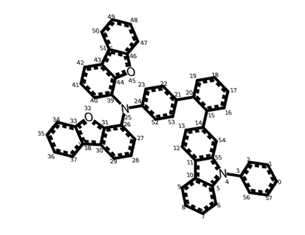 c1ccc(-n2c3ccccc3c3ccc(-c4ccccc4-c4ccc(N(c5cccc6c5oc5ccccc56)c5cccc6c5oc5ccccc56)cc4)cc32)cc1